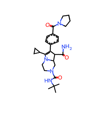 CC(C)(C)NC(=O)N1CCN2C(C3CC3)=C(c3ccc(C(=O)N4CCCC4)cc3)C(C(N)=O)C2C1